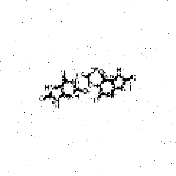 O=C(On1c(=O)[nH]c2[nH]c(=O)[nH]c2c1=O)On1c(=O)[nH]c2[nH]c(=O)[nH]c2c1=O